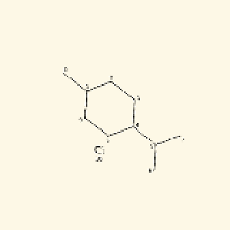 CC1CCC(C(C)C)CC1.[C]